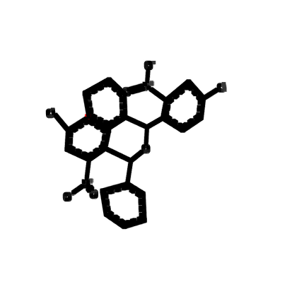 O=[N+]([O-])c1cc(Cl)ccc1C(OC(c1ccccc1)c1ccc(Cl)cc1[N+](=O)[O-])c1ccccc1